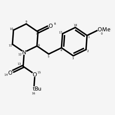 COc1ccc(CC2C(=O)CCCN2C(=O)OC(C)(C)C)cc1